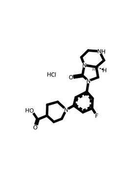 Cl.O=C(O)C1CCN(c2cc(F)cc(N3C[C@@H]4CNCCN4C3=O)c2)CC1